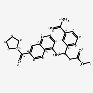 COC(=O)CC(Nc1ccnc2cc(C(=O)N3CCCC3)ccc12)c1cccc(C(=N)N)c1